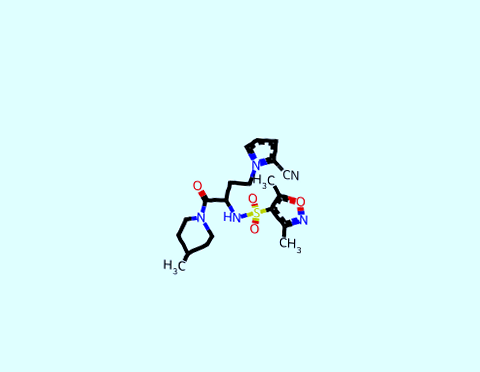 Cc1noc(C)c1S(=O)(=O)NC(CCn1cccc1C#N)C(=O)N1CCC(C)CC1